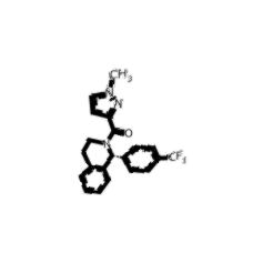 Cn1ccc(C(=O)N2CCc3ccccc3[C@H]2c2ccc(C(F)(F)F)cc2)n1